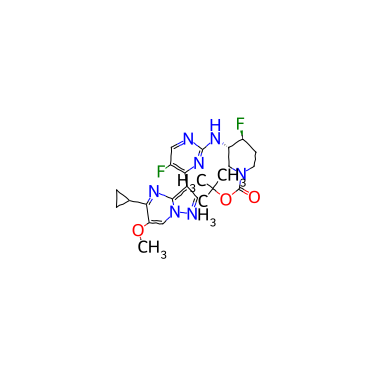 COc1cn2ncc(-c3nc(N[C@H]4CN(C(=O)OC(C)(C)C)CC[C@@H]4F)ncc3F)c2nc1C1CC1